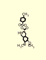 COc1cc2c(cc1OC)C[C@@H](C(=O)OS(=O)(=O)c1ccc(C)cc1)NC2